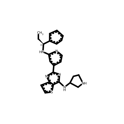 CC[C@H](Nc1cc(-c2nc(NC3CCNC3)c3sccc3n2)ccn1)c1ccccc1